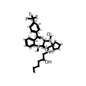 CCCCC(O)CNCC1(N(C=O)C2N=C(c3ccc(C(F)(F)F)cc3)c3ccccc3N(C)C2=O)CCCC1